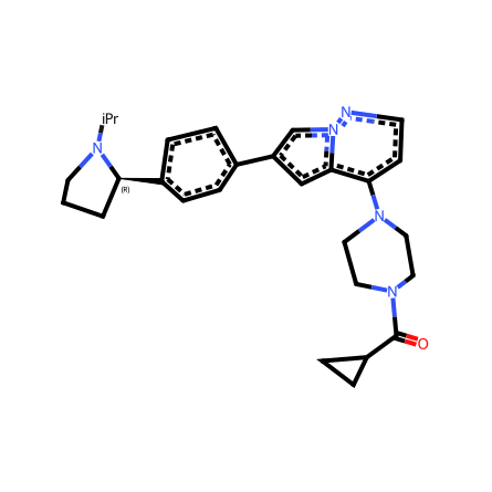 CC(C)N1CCC[C@@H]1c1ccc(-c2cc3c(N4CCN(C(=O)C5CC5)CC4)ccnn3c2)cc1